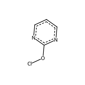 ClOc1ncccn1